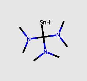 CN(C)[C]([SnH])(N(C)C)N(C)C